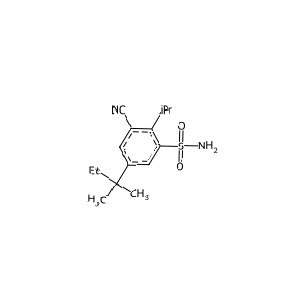 CCC(C)(C)c1cc(C#N)c(C(C)C)c(S(N)(=O)=O)c1